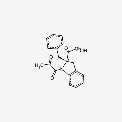 CC(=O)C(=O)N1c2ccccc2C[C@@]1(Cc1ccccc1)C(=O)O.Cl